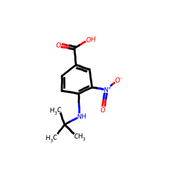 CC(C)(C)Nc1ccc(C(=O)O)cc1[N+](=O)[O-]